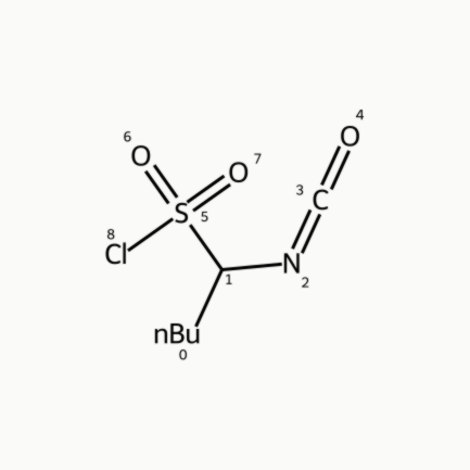 CCCCC(N=C=O)S(=O)(=O)Cl